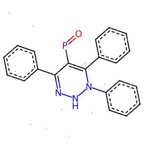 O=PC1=C(c2ccccc2)N(c2ccccc2)NN=C1c1ccccc1